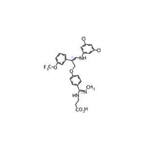 C/N=C(/NCCC(=O)O)c1ccc(OC/C(=C\Nc2cc(Cl)cc(Cl)c2)c2cccc(OC(F)(F)F)c2)cc1